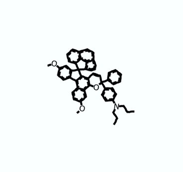 CCCN(CCC)c1ccc(C2(c3ccccc3)C=Cc3c4c(c5ccc(OC)cc5c3O2)-c2ccc(OC)cc2C42c3cccc4ccc5cccc2c5c34)cc1